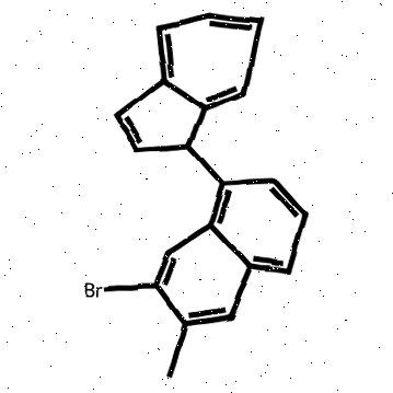 Cc1cc2cccc(C3C=Cc4ccccc43)c2cc1Br